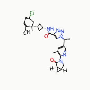 Cc1cc([C@H](C)n2cc(C(=O)N[C@H]3C[C@@H](C4(C)CC(Cl)=CC=C4C#N)C3)nn2)cnc1N1C[C@H]2C[C@H]2C1=O